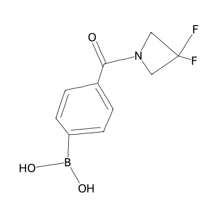 O=C(c1ccc(B(O)O)cc1)N1CC(F)(F)C1